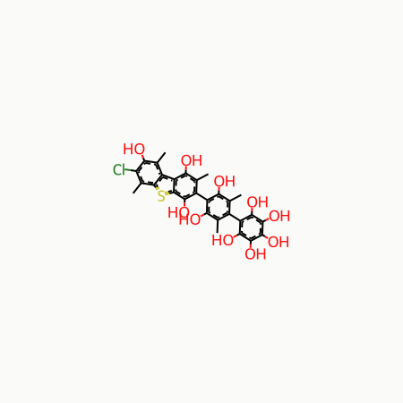 Cc1c(O)c(-c2c(C)c(O)c3c(sc4c(C)c(Cl)c(O)c(C)c43)c2O)c(O)c(C)c1-c1c(O)c(O)c(O)c(O)c1O